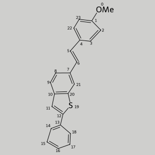 COc1ccc(/C=C/c2ccc3cc(-c4ccccc4)sc3c2)cc1